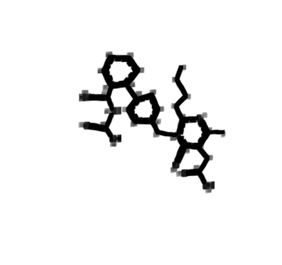 CCCCc1nc(C)c(CC(=O)O)c(=O)n1Cc1ccc(-c2ccccc2C(=N)NC(=O)O)cc1